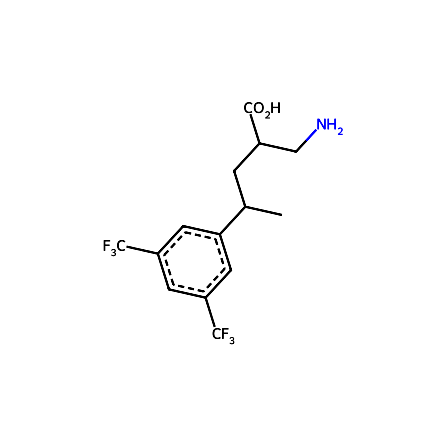 CC(CC(CN)C(=O)O)c1cc(C(F)(F)F)cc(C(F)(F)F)c1